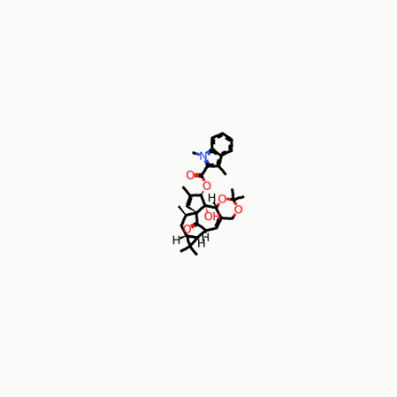 CC1=C[C@]23C(=O)[C@@H](C=C4COC(C)(C)O[C@H]4[C@]2(O)[C@H]1OC(=O)c1c(C)c2ccccc2n1C)[C@H]1[C@@H](C[C@H]3C)C1(C)C